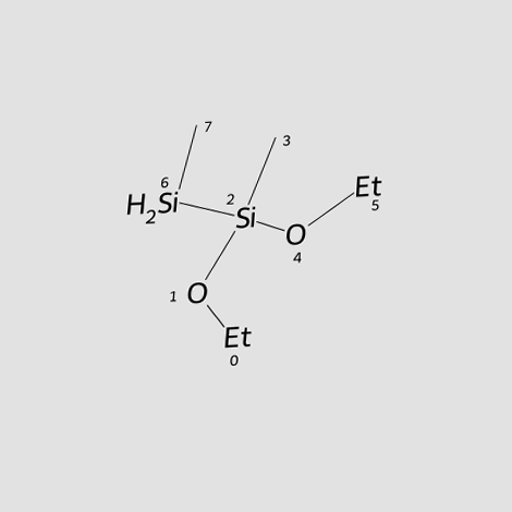 CCO[Si](C)(OCC)[SiH2]C